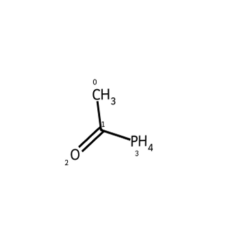 CC(=O)[PH4]